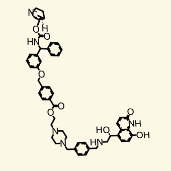 O=C(NC(c1ccccc1)c1cccc(OCc2ccc(C(=O)OCCN3CCN(Cc4ccc(CNC[C@@H](O)c5ccc(O)c6[nH]c(=O)ccc56)cc4)CC3)cc2)c1)O[C@H]1CN2CCC1CC2